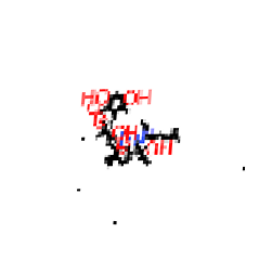 C=C(C)CCC(O)/C(=C/C)NC(CCC)[C@@H]1CCC2(CC2)C(C[C@H](O)[C@@H](C)[C@H]2Cc3c(C)c(O)cc(O)c3C(=O)O2)O1